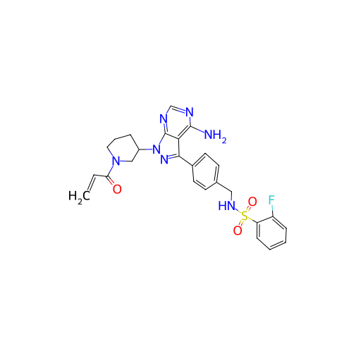 C=CC(=O)N1CCCC(n2nc(-c3ccc(CNS(=O)(=O)c4ccccc4F)cc3)c3c(N)ncnc32)C1